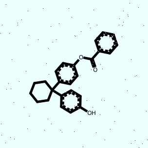 O=C(Oc1ccc(C2(c3ccc(O)cc3)CCCCC2)cc1)c1ccccc1